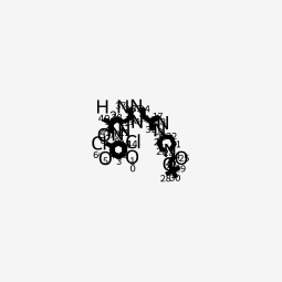 COc1cc(OC)c(Cl)c(-n2nc(-c3nc(-c4cnn(C5CCN(C(=O)OC(C)(C)C)CC5)c4)cnc3N)cc(C)c2=O)c1Cl